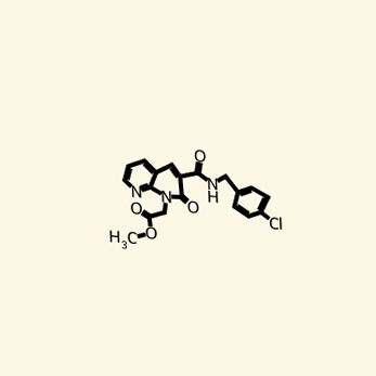 COC(=O)Cn1c(=O)c(C(=O)NCc2ccc(Cl)cc2)cc2cccnc21